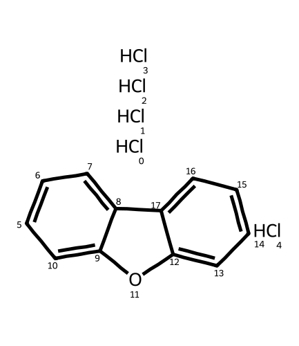 Cl.Cl.Cl.Cl.Cl.c1ccc2c(c1)oc1ccccc12